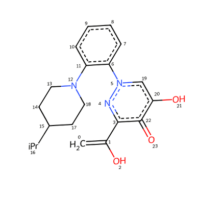 C=C(O)c1nn(-c2ccccc2N2CCC(C(C)C)CC2)cc(O)c1=O